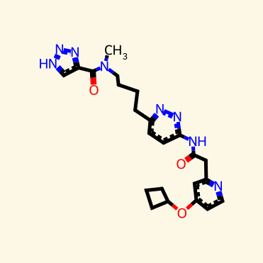 CN(CCCCc1ccc(NC(=O)Cc2cc(OC3CCC3)ccn2)nn1)C(=O)c1c[nH]nn1